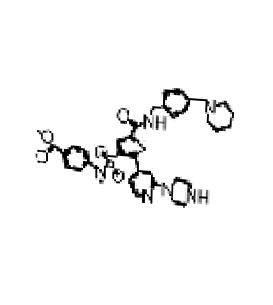 COC(=O)c1ccc(N(C)S(=O)(=O)c2cc(C(=O)NCc3ccc(CN4CCCCC4)cc3)sc2-c2ccnc(N3CCNCC3)c2)cc1